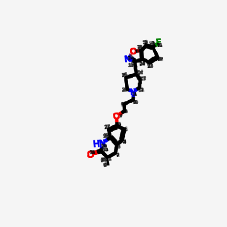 C[C@@H]1Cc2ccc(OCCCN3CCC(c4noc5cc(F)ccc45)CC3)cc2NC1=O